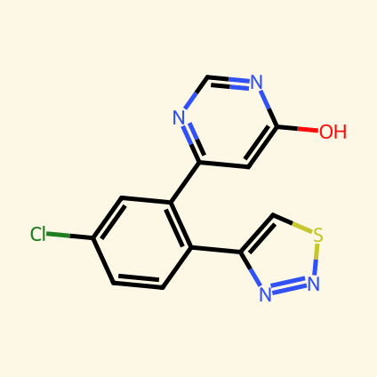 Oc1cc(-c2cc(Cl)ccc2-c2csnn2)ncn1